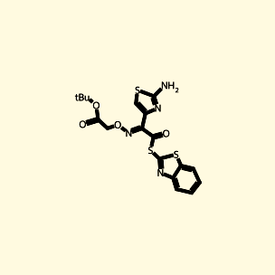 CC(C)(C)OC(=O)CON=C(C(=O)Sc1nc2ccccc2s1)c1csc(N)n1